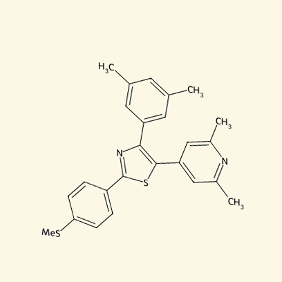 CSc1ccc(-c2nc(-c3cc(C)cc(C)c3)c(-c3cc(C)nc(C)c3)s2)cc1